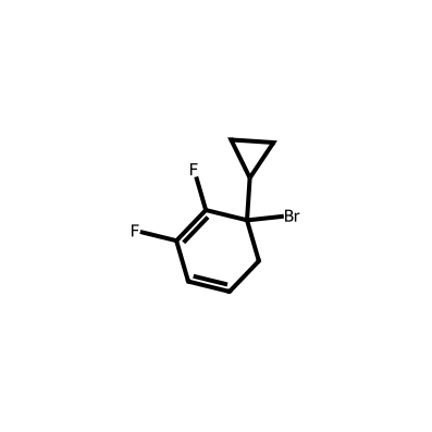 FC1=C(F)C(Br)(C2CC2)CC=C1